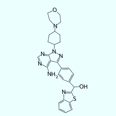 Nc1ncnc2c1c(-c1ccc(C(O)c3nc4ccccc4s3)cc1)nn2C1CCC(N2CCOCC2)CC1